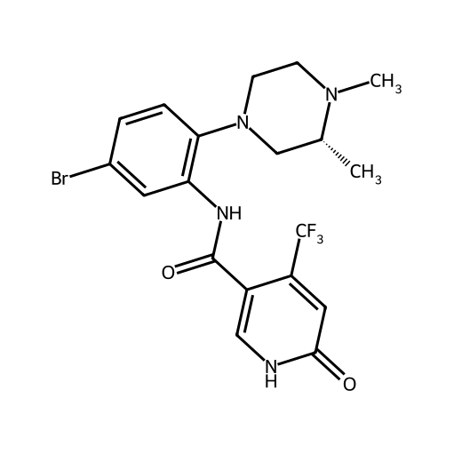 C[C@@H]1CN(c2ccc(Br)cc2NC(=O)c2c[nH]c(=O)cc2C(F)(F)F)CCN1C